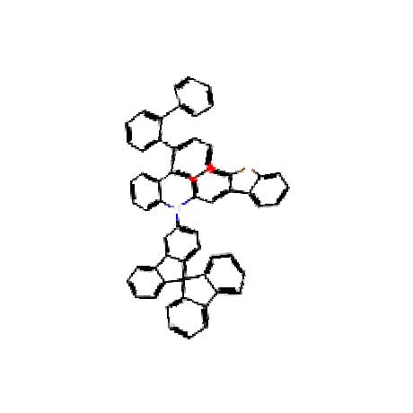 c1ccc(-c2ccccc2-c2ccccc2-c2ccccc2N(c2ccc3c(c2)-c2ccccc2C32c3ccccc3-c3ccccc32)c2ccc3sc4ccccc4c3c2)cc1